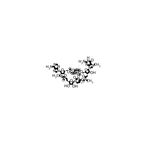 CO[C@@H]1[C@H](OP(=O)([O-])CC[C@H]2O[C@@H](n3ccc(=O)[nH]c3=O)[C@H](O)[C@@H]2O)[C@@H](COP(=O)(O)OP(=O)(O)OP(=O)(O)OC[C@H]2O[C@@H](n3c[n+](C)c4c(=O)[nH]c(N)nc43)[C@H](O)[C@@H]2CC(=O)N(C)C)O[C@H]1n1cnc2c(N)ncnc21